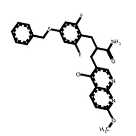 COc1ccc2c(Cl)c(CC(Cc3c(F)cc(SCc4ccccc4)cc3F)C(N)=O)cnc2n1